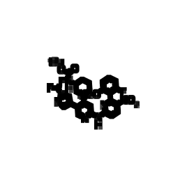 COc1cccc(F)c1-c1nc(Nc2cc(N3CCC[C@H](NC(=O)OC(C)(C)C)C3)c(-c3cnn(C(F)F)c3)cn2)ccc1[N+](=O)[O-]